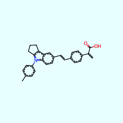 C=C(C(=O)O)c1ccc(C=Cc2ccc3c(c2)c2c(n3-c3ccc(C)cc3)CCC2)cc1